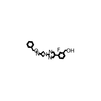 OCc1cccc(-c2cnc(N3CC(=NOCc4ccccc4)C3)nc2)c1F